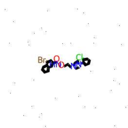 O=C(NOCCCN1CCN(c2ccccc2Cl)CC1)c1cc(Br)c2ccccc2c1